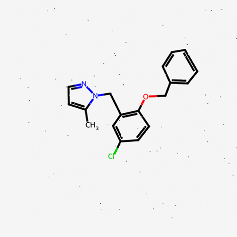 Cc1c[c]nn1Cc1cc(Cl)ccc1OCc1ccccc1